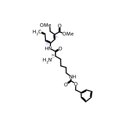 C=C/C=C(\C=C(/COC)C(=O)OC)NC(=O)[C@@H](N)CCCCNC(=O)OCc1ccccc1